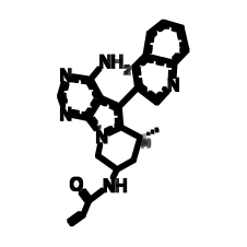 C=CC(=O)NC1C[C@@H](C)c2c(-c3cnc4ccccc4c3)c3c(N)ncnc3n2C1